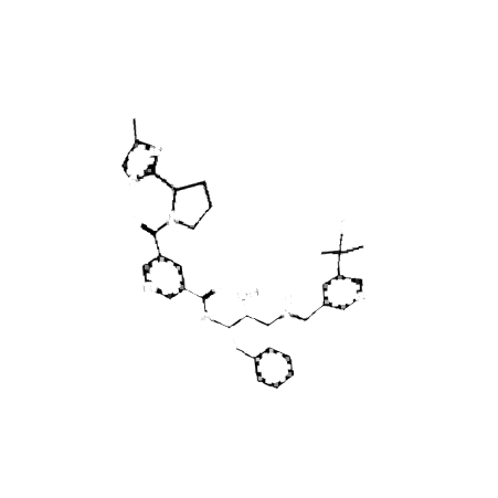 Cc1coc(C2CCCN2C(=O)c2cncc(C(=O)N[C@@H](Cc3ccccc3)[C@H](O)CNCc3cncc(C(C)(C)F)c3)c2)n1